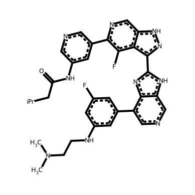 CC(C)CC(=O)Nc1cncc(-c2ncc3[nH]nc(-c4nc5c(-c6cc(F)cc(NCCN(C)C)c6)cncc5[nH]4)c3c2F)c1